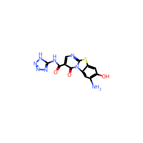 Nc1cc2c(cc1O)sc1ncc(C(=O)Nc3nnn[nH]3)c(=O)n12